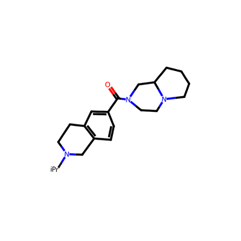 CC(C)N1CCc2cc(C(=O)N3CCN4CCCCC4C3)ccc2C1